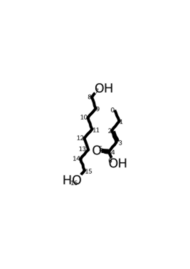 CCC=CC(=O)O.OCCCCCCCCO